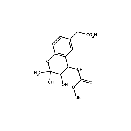 CC(C)(C)OC(=O)NC1c2cc(CC(=O)O)ccc2OC(C)(C)C1O